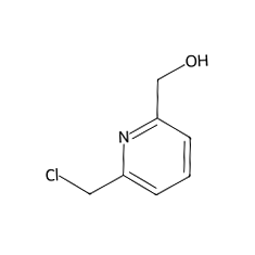 OCc1cccc(CCl)n1